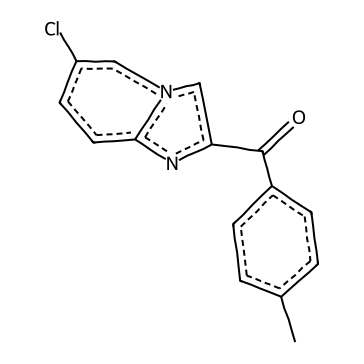 Cc1ccc(C(=O)c2cn3cc(Cl)ccc3n2)cc1